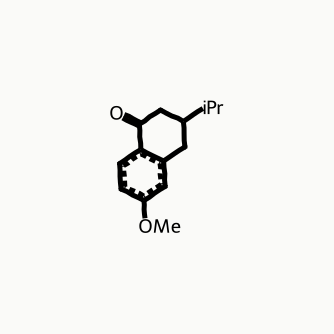 COc1ccc2c(c1)CC(C(C)C)CC2=O